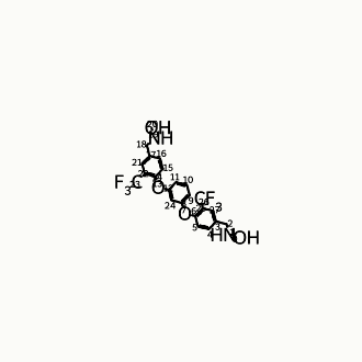 ONCc1ccc(Oc2cccc(Oc3ccc(CNO)cc3C(F)(F)F)c2)c(C(F)(F)F)c1